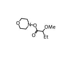 CCC(OC)C(=O)ON1CCOCC1